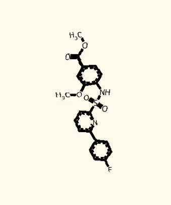 COC(=O)c1ccc(NS(=O)(=O)c2cccc(-c3ccc(F)cc3)n2)c(OC)c1